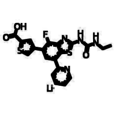 CCNC(=O)Nc1nc2c(F)c(-c3csc(C(=O)O)c3)cc(-c3ccccn3)c2s1.[Li]